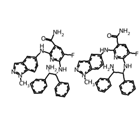 Cn1ncc2cc(Nc3nc(N[C@@H](c4ccccc4)[C@H](N)c4ccccc4)c(F)cc3C(N)=O)ccc21.Cn1ncc2cc(Nc3nc(N[C@H](c4ccccc4)[C@@H](N)c4ccccc4)c(F)cc3C(N)=O)ccc21